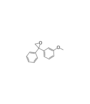 COc1cccc(C2(c3ccccc3)CO2)c1